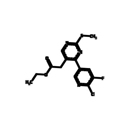 CCOC(=O)Cc1cnc(SC)nc1-c1cnc(Cl)c(F)c1